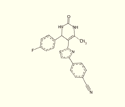 CC1=C(c2nc(-c3ccc(C#N)cc3)cs2)C(c2ccc(F)cc2)NC(=O)N1